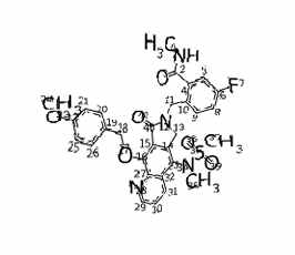 CNC(=O)c1cc(F)ccc1CN1Cc2c(c(OCc3ccc(OC)cc3)c3ncccc3c2N(C)S(C)(=O)=O)C1=O